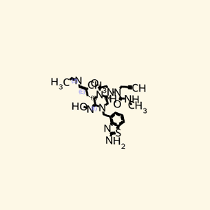 C#CCN(C(=O)NC)N1CC(=O)N2[C@@H](C/C(C)=C/N=C\C)/C(=N\O)N(Cc3cccc4sc(N)nc34)C[C@@H]21